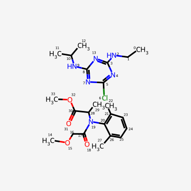 CCNc1nc(Cl)nc(NC(C)C)n1.COCC(=O)N(c1c(C)cccc1C)C(C)C(=O)OC